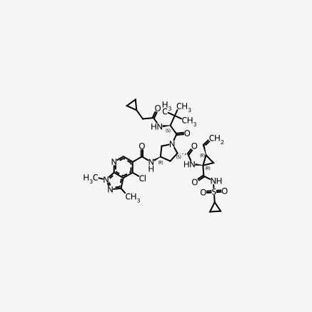 C=C[C@H]1C[C@]1(NC(=O)[C@@H]1C[C@@H](NC(=O)c2cnc3c(c(C)nn3C)c2Cl)CN1C(=O)[C@@H](NC(=O)CC1CC1)C(C)(C)C)C(=O)NS(=O)(=O)C1CC1